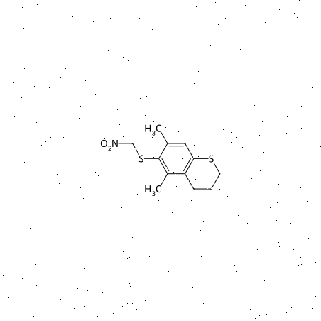 Cc1cc2c(c(C)c1SC[N+](=O)[O-])CCCS2